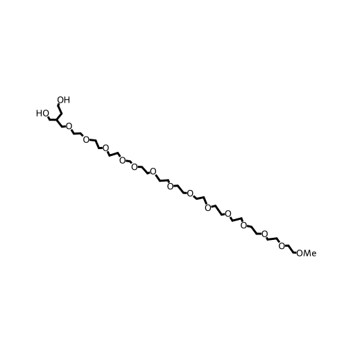 COCCOCCOCCOCCOCCOCCOCCOCCOCCOCOCCOCCOCCOCC(CO)CCO